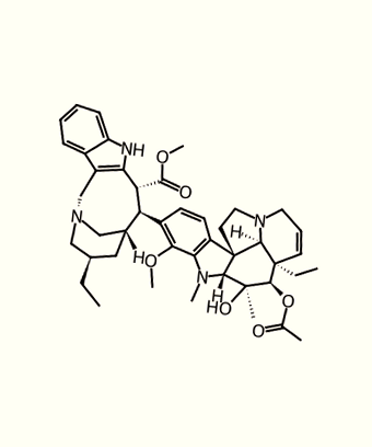 CC[C@@H]1C[C@@H]2C[N@@](Cc3c([nH]c4ccccc34)[C@H](C(=O)OC)[C@H]2c2ccc3c(c2OC)N(C)[C@H]2[C@](C)(O)[C@H](OC(C)=O)[C@]4(CC)C=CCN5CC[C@]32[C@@H]54)C1